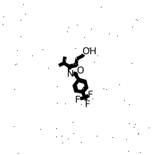 CC(C)c1nc(-c2ccc(C(F)(F)F)cc2)oc1CCO